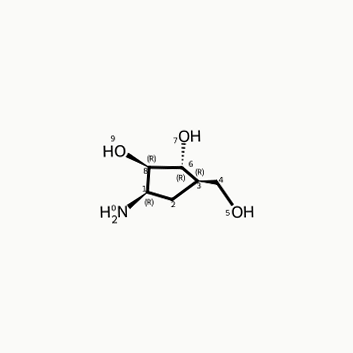 N[C@@H]1C[C@H](CO)[C@@H](O)[C@@H]1O